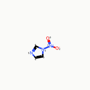 O=[N+]([O-])n1[c]ncc1